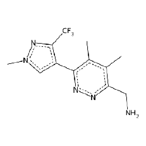 Cc1c(CN)nnc(-c2cn(C)nc2C(F)(F)F)c1C